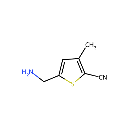 Cc1cc(CN)sc1C#N